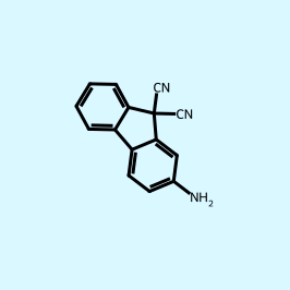 N#CC1(C#N)c2ccccc2-c2ccc(N)cc21